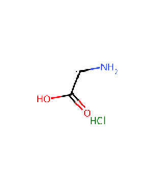 Cl.N[CH]C(=O)O